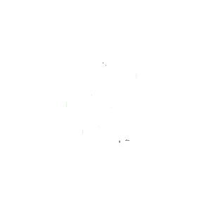 CCCCCOC(C)(C)c1cc(Cl)c(F)c(C(CC(=O)OCC)C[N+](=O)[O-])c1OCC